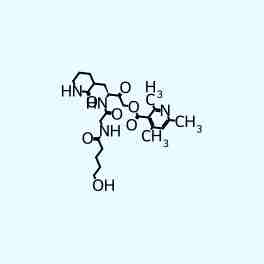 Cc1cc(C)c(C(=O)OCC(=O)[C@H](CC2CCCNC2=O)NC(=O)CNC(=O)CCCCO)c(C)n1